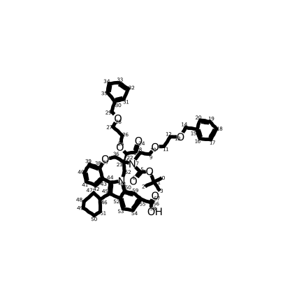 CC(C)(C)OC(=O)N(CCOCCOCc1ccccc1)[C@@]1(C(C=O)OCCOCc2ccccc2)COc2ccccc2-c2c(C3CCCCC3)c3ccc(C(=O)O)cc3n2C1